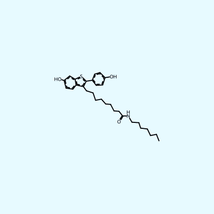 CCCCCCCNC(=O)CCCCCCCCc1c(-c2ccc(O)cc2)sc2cc(O)ccc12